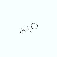 CC[Si](C)(C)CC1=CC2=C(CCCC2)C1C